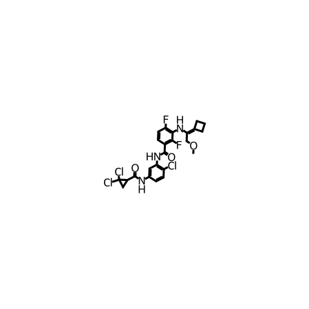 COCC(Nc1c(F)ccc(C(=O)Nc2cc(NC(=O)C3CC3(Cl)Cl)ccc2Cl)c1F)=C1CCC1